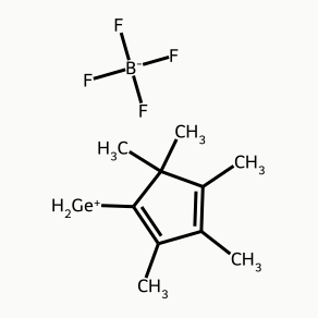 CC1=C(C)C(C)(C)[C]([GeH2+])=C1C.F[B-](F)(F)F